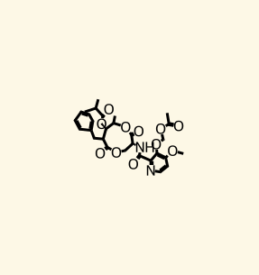 COc1ccnc(C(=O)N[C@H]2COC(=O)C(Cc3ccccc3)[C@@H](OC(=O)C(C)C)C(C)OC2=O)c1OCOC(C)=O